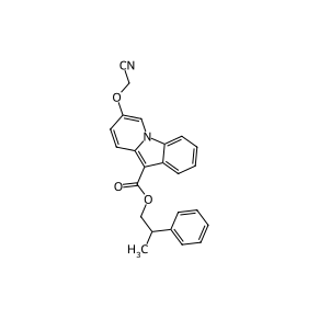 CC(COC(=O)c1c2ccccc2n2cc(OCC#N)ccc12)c1ccccc1